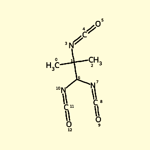 CC(C)(N=C=O)C(N=C=O)N=C=O